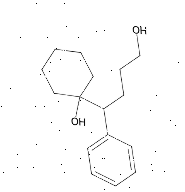 OCCCC(c1ccccc1)C1(O)CCCCC1